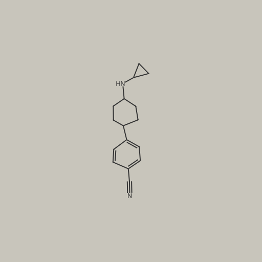 N#Cc1ccc(C2CCC(NC3CC3)CC2)cc1